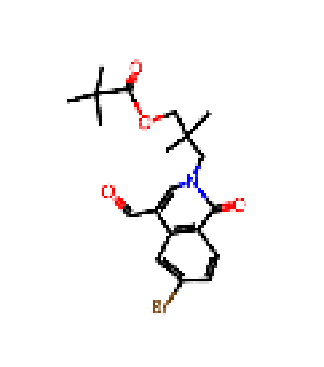 CC(C)(COC(=O)C(C)(C)C)Cn1cc(C=O)c2cc(Br)ccc2c1=O